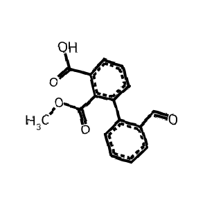 COC(=O)c1c(C(=O)O)cccc1-c1ccccc1C=O